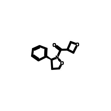 O=C(C1COC1)N1OCC[C@H]1c1ccccc1